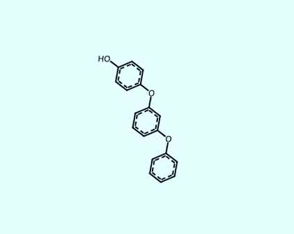 Oc1ccc(Oc2cccc(Oc3ccccc3)c2)cc1